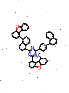 CC1CC=Cc2oc3cccc(-c4nc(-c5ccc(-c6cccc7ccccc67)cc5)nc(-c5cccc6c(-c7cccc8oc9ccccc9c78)cccc56)n4)c3c21